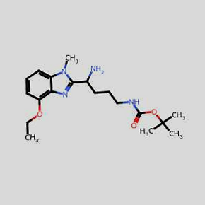 CCOc1cccc2c1nc(C(N)CCCNC(=O)OC(C)(C)C)n2C